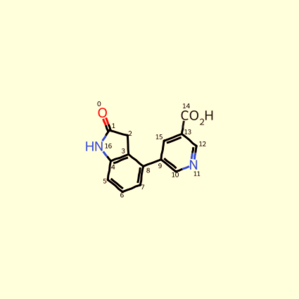 O=C1Cc2c(cccc2-c2cncc(C(=O)O)c2)N1